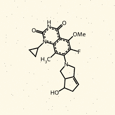 COc1c(F)c(N2CC3=CCC(O)C3C2)c(C)c2c1c(=O)[nH]c(=O)n2C1CC1